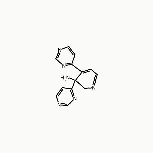 NC1(c2ccncn2)CN=CC=C1c1ccncn1